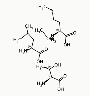 CC(C)C[C@H](N)C(=O)O.CO.CSCC[C@H](N)C(=O)O.C[C@@H](O)[C@H](N)C(=O)O